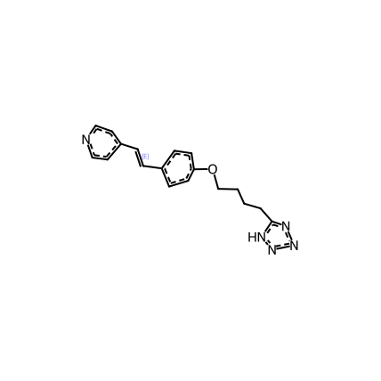 C(=C\c1ccc(OCCCCc2nnn[nH]2)cc1)/c1ccncc1